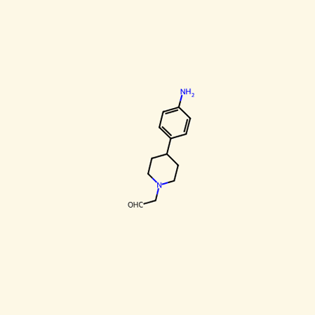 Nc1ccc(C2CCN(CC=O)CC2)cc1